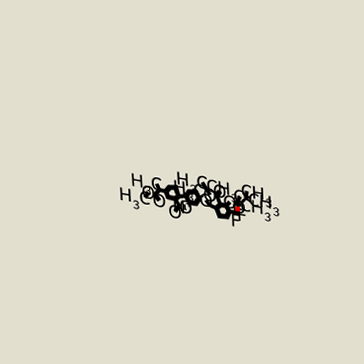 COC(=O)C(C)c1ccc(-c2ccc(OCc3ccc(C(F)(F)F)c(OC(=O)OC(C)(C)C)c3C(=O)OC(C)(C)C)cc2)c([N+](=O)[O-])c1